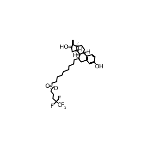 C=C1[C@H](O)C[C@H]2[C@@H]3[C@H](CCCCCCCCCS(=O)(=O)CCCC(F)(F)C(F)(F)F)Cc4cc(O)ccc4[C@H]3CC[C@]12C